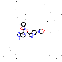 O=C(c1cnn2cc(N3CCOCC3)ccc12)N1CCc2[nH]cnc2[C@H]1c1nc2cccc(F)c2o1